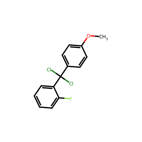 COc1ccc(C(Cl)(Cl)c2ccccc2F)cc1